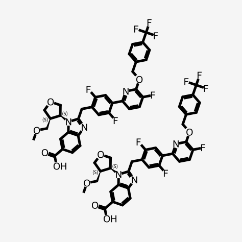 COC[C@H]1COC[C@H]1n1c(Cc2cc(F)c(-c3ccc(F)c(OCc4ccc(C(F)(F)F)cc4)n3)cc2F)nc2ccc(C(=O)O)cc21.COC[C@H]1COC[C@H]1n1c(Cc2cc(F)c(-c3ccc(F)c(OCc4ccc(C(F)(F)F)cc4)n3)cc2F)nc2ccc(C(=O)O)cc21